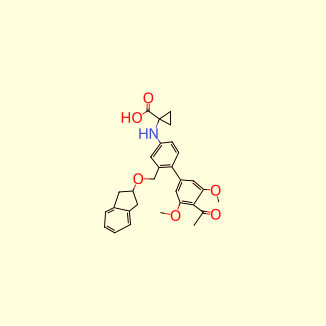 COc1cc(-c2ccc(NC3(C(=O)O)CC3)cc2COC2Cc3ccccc3C2)cc(OC)c1C(C)=O